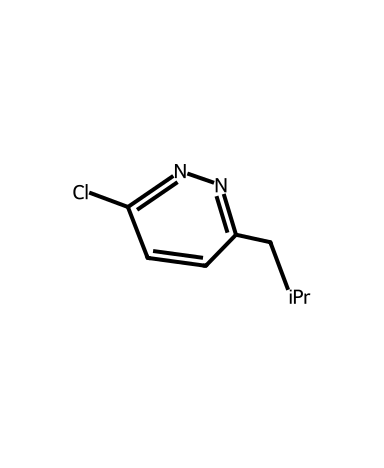 [CH2]C(C)Cc1ccc(Cl)nn1